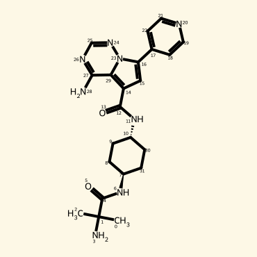 CC(C)(N)C(=O)N[C@H]1CC[C@H](NC(=O)c2cc(-c3ccncc3)n3ncnc(N)c23)CC1